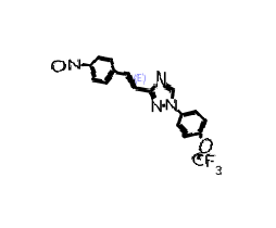 O=Nc1ccc(/C=C/c2ncn(-c3ccc(OC(F)(F)F)cc3)n2)cc1